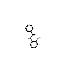 O=C(c1ccccc1)C(O)c1ccccc1CC(F)(F)F